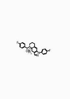 C[C@]12Cc3cnn(-c4ccc(F)cc4)c3C=C1CCC[C@@H]2[C@@H](O)c1ccc(F)cc1